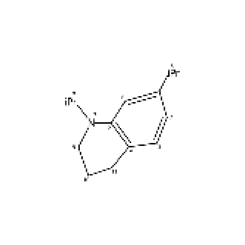 CC(C)c1ccc2c(c1)N(C(C)C)CCC2